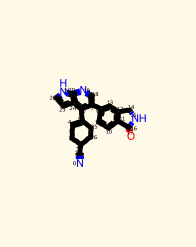 N#CC1CC=C(c2c(-c3ccc4c(c3)CNC4=O)cnc3[nH]ccc23)CC1